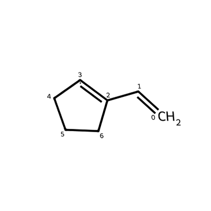 C=CC1=[C]CCC1